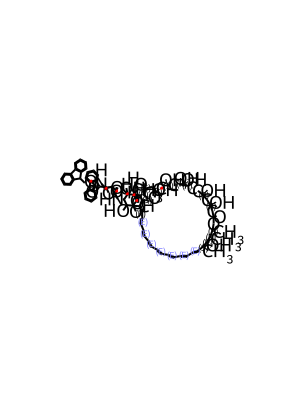 CC1OC(O[C@H]2/C=C/C=C/C=C/C=C/C=C/C=C/C=C/[C@H](C)[C@@H](O)[C@@H](C)[C@H](C)OC(=O)C[C@H](O)C[C@H](O)CC[C@@H](O)[C@H](O)C[C@H](O)C[C@]3(O)C[C@H](O)[C@@H](C(=O)NCCOCCNC(=O)OCC4c5ccccc5-c5ccccc54)[C@H](C2)O3)C(O)C(NC(=O)OCC2c3ccccc3-c3ccccc32)C1O